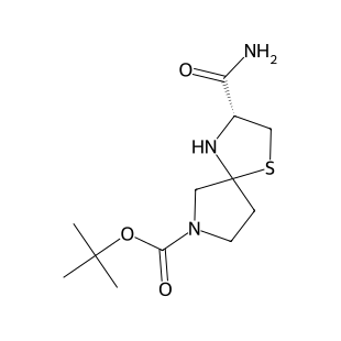 CC(C)(C)OC(=O)N1CCC2(C1)N[C@H](C(N)=O)CS2